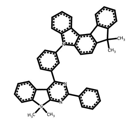 CC1(C)c2ccccc2-c2c1ccc1c2c2ccccc2n1-c1cccc(-c2nc(-c3ccccc3)nc3c2-c2ccccc2[Si]3(C)C)c1